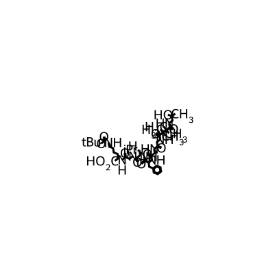 CC(C)CC(NC(=O)C(Cc1ccccc1)NC(=O)CNC(=O)CNC(=O)C(C)(C)C(C)(C)C(=O)NCC(C)O)C(=O)NCC(=O)NC(CCCCNC(=O)OC(C)(C)C)C(=O)O